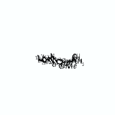 COc1cc(-n2cnc3c(c2=O)SC(c2ccc(CI)cc2)C3)ccc1OCCN(C)C